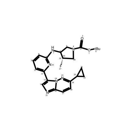 CC(C)(C)OC(=O)N1CC(Nc2cccc(-c3cnc4ccc(C5CC5)nn34)n2)[C@@H](F)C1